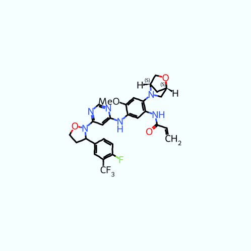 C=CC(=O)Nc1cc(Nc2cc(N3OCCC3c3ccc(F)c(C(F)(F)F)c3)ncn2)c(OC)cc1N1C[C@@H]2C[C@H]1CO2